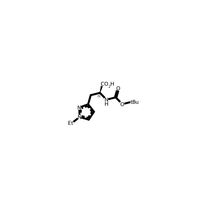 CCn1ccc(C[C@H](NC(=O)OC(C)(C)C)C(=O)O)n1